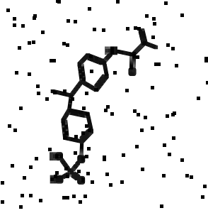 C=C(C)C(=O)Nc1ccc(C(C)c2ccc(OP(=O)(O)O)cc2)cc1